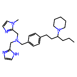 CCCC(CCc1ccc(CN(Cc2ncc[nH]2)Cc2nccn2C)cc1)N1CCCCC1